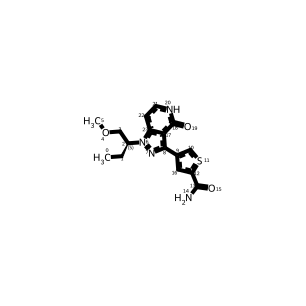 CC[C@@H](COC)n1nc(-c2csc(C(N)=O)c2)c2c(=O)[nH]ccc21